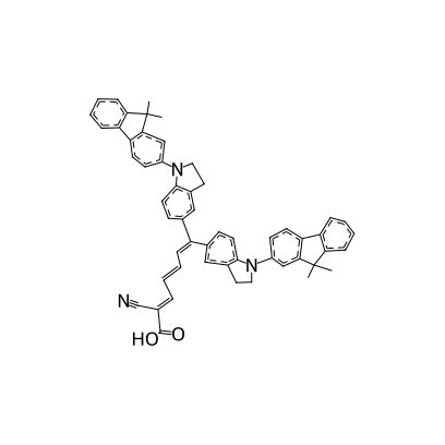 CC1(C)c2ccccc2-c2ccc(N3CCc4cc(C(=C/C=C/C=C(\C#N)C(=O)O)c5ccc6c(c5)CCN6c5ccc6c(c5)C(C)(C)c5ccccc5-6)ccc43)cc21